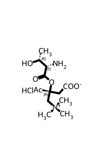 CC(=O)[C@@](CC(=O)[O-])(C[N+](C)(C)C)OC(=O)[C@@H](N)[C@@H](C)O.Cl